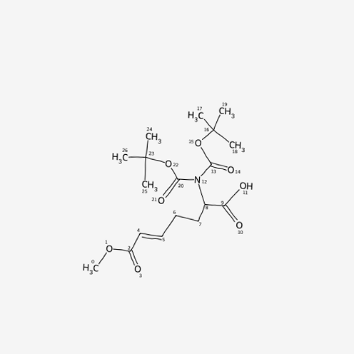 COC(=O)C=CCCC(C(=O)O)N(C(=O)OC(C)(C)C)C(=O)OC(C)(C)C